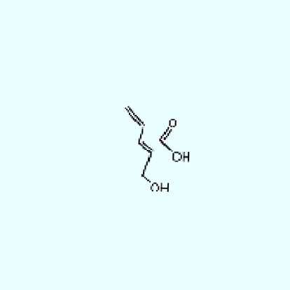 C=CC=CCO.O=CO